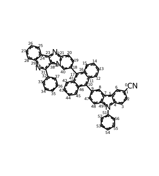 N#Cc1ccc2c(c1)c1cc(-c3c4ccccc4c(-c4ccc5nc6c7ccccc7nc(-c7ccccc7)c6n5c4)c4ccccc34)ccc1n2-c1ccccc1